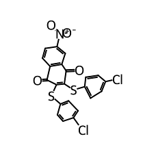 O=C1C(Sc2ccc(Cl)cc2)=C(Sc2ccc(Cl)cc2)C(=O)c2cc([N+](=O)[O-])ccc21